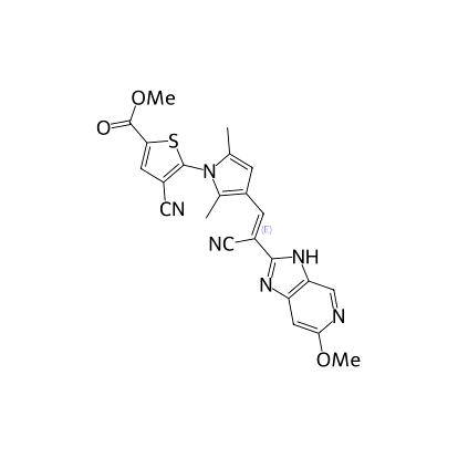 COC(=O)c1cc(C#N)c(-n2c(C)cc(/C=C(\C#N)c3nc4cc(OC)ncc4[nH]3)c2C)s1